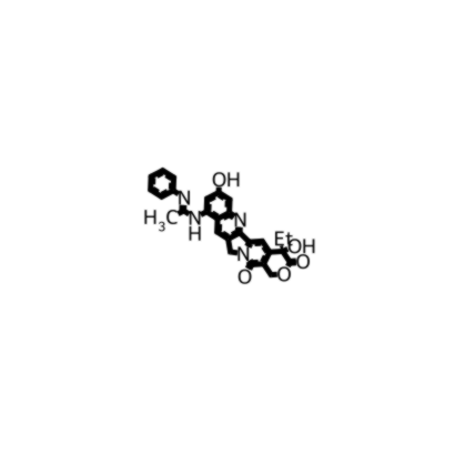 CC[C@@]1(O)C(=O)OCc2c1cc1n(c2=O)Cc2cc3c(NC(C)=Nc4ccccc4)cc(O)cc3nc2-1